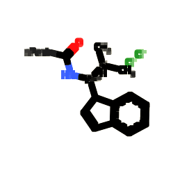 CCCCCC(=O)[NH][Zr+2]([CH]1C=Cc2ccccc21)[SiH](C)C.[Cl-].[Cl-]